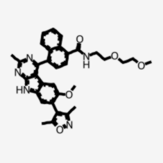 COCCOCCNC(=O)c1ccc(-c2nc(C)nc3[nH]c4cc(-c5c(C)noc5C)c(OC)cc4c23)c2ccccc12